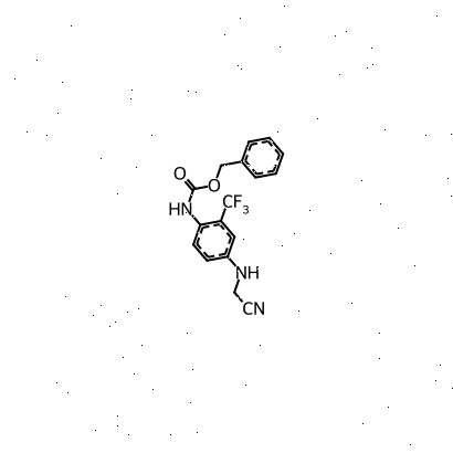 N#CCNc1ccc(NC(=O)OCc2ccccc2)c(C(F)(F)F)c1